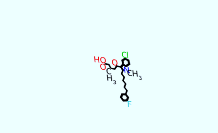 CC(CC(=O)O)CC(=O)c1c(CCCCCCc2cccc(F)c2)n(C)c2ccc(Cl)cc12